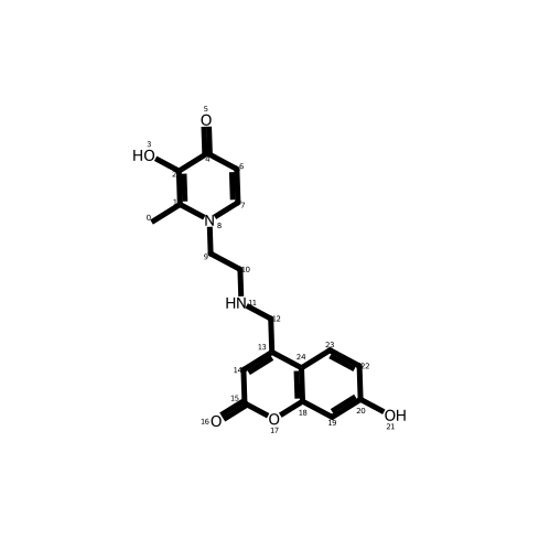 Cc1c(O)c(=O)ccn1CCNCc1cc(=O)oc2cc(O)ccc12